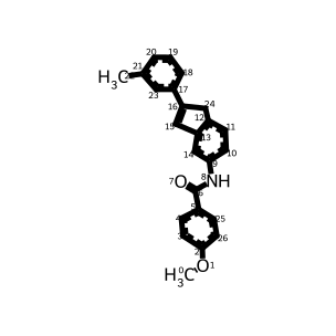 COc1ccc(C(=O)Nc2ccc3c(c2)C=C(c2cccc(C)c2)C3)cc1